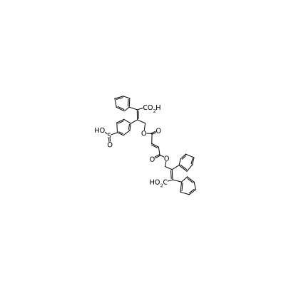 O=C(/C=C/C(=O)OC/C(=C(\C(=O)O)c1ccccc1)c1ccc(S(=O)O)cc1)OC/C(=C(\C(=O)O)c1ccccc1)c1ccccc1